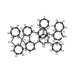 c1ccc(-c2cc(-c3cccc4c3-c3c(-c5ccc(-c6ccnc7ccccc67)cc5)cccc3C43c4ccccc4Sc4ccccc43)nc(-c3ccccc3)n2)cc1